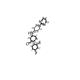 Fc1ccc(-c2ccc(NC3CCN(c4ncccn4)CC3)cc2Cl)c(F)c1